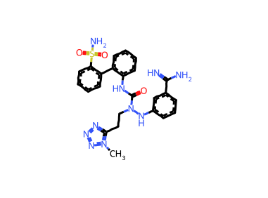 Cn1nnnc1CCN(Nc1cccc(C(=N)N)c1)C(=O)Nc1ccccc1-c1ccccc1S(N)(=O)=O